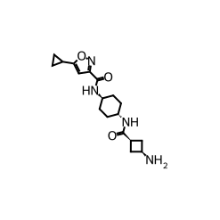 N[C@H]1C[C@@H](C(=O)N[C@H]2CC[C@H](NC(=O)c3cc(C4CC4)on3)CC2)C1